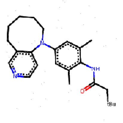 Cc1cc(N2CCCCCc3cnccc32)cc(C)c1NC(=O)CC(C)(C)C